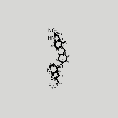 Cc1c(CN2CCC(Oc3ncnc4sc(CC(F)(F)F)cc34)CC2)ccc2[nH]c(C#N)cc12